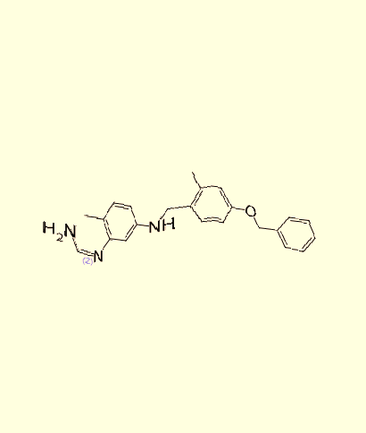 Cc1cc(OCc2ccccc2)ccc1CNc1ccc(C)c(/N=C\N)c1